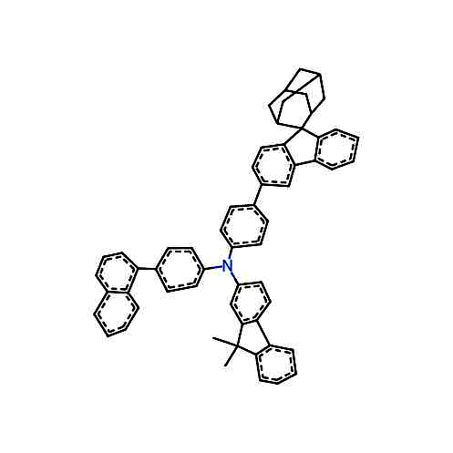 CC1(C)c2ccccc2-c2ccc(N(c3ccc(-c4ccc5c(c4)-c4ccccc4C54C5CC6CC(C5)CC4C6)cc3)c3ccc(-c4cccc5ccccc45)cc3)cc21